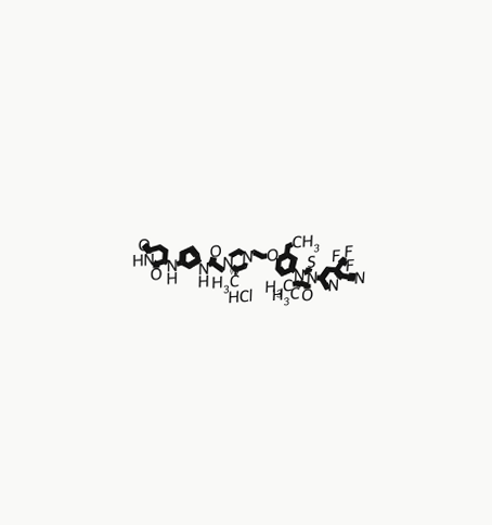 CCc1cc(N2C(=S)N(c3cnc(C#N)c(C(F)(F)F)c3)C(=O)C2(C)C)ccc1OCCN1CCN(CC(=O)Nc2cccc(NC3CCC(=O)NC3=O)c2)[C@H](C)C1.Cl